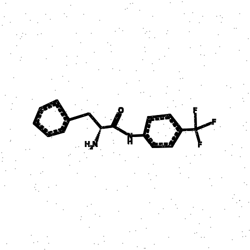 N[C@H](Cc1ccccc1)C(=O)Nc1ccc(C(F)(F)F)cc1